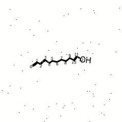 C=CC=CCCCCCCC=CO